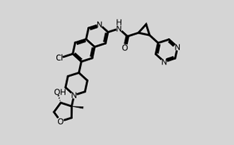 C[C@@]1(N2CCC(c3cc4cc(NC(=O)C5CC5c5cncnc5)ncc4cc3Cl)CC2)COC[C@@H]1O